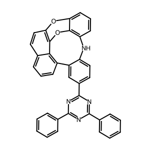 c1ccc(-c2nc(-c3ccccc3)nc(-c3ccc4c(c3)-c3cccc5ccc6c(c35)Oc3c(cccc3O6)N4)n2)cc1